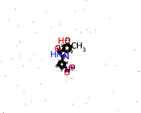 Cc1cc2nc(-c3cccc([N+](=O)[O-])c3)[nH]c(=O)c2cc1O